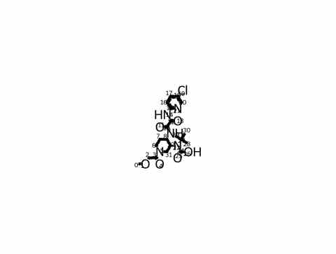 COCC(=O)N1CC[C@H](NC(=O)C(=O)Nc2ccc(Cl)cn2)[C@H](N(C(=O)O)C(C)(C)C)C1